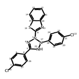 Clc1ccc(C2=NN(c3nc4ccccc4s3)N(c3ccc(Cl)cc3)N2)cc1